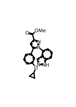 COC(=O)c1cc(-c2cccc(OC3CC3)c2)n(-c2cccc3[nH]ncc23)n1